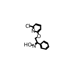 O/N=C(\COc1cccc(Cl)n1)c1ccccc1